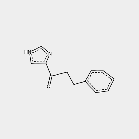 O=C(CCc1ccccc1)c1c[nH]cn1